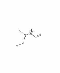 C=C[SiH2]N(C)CC